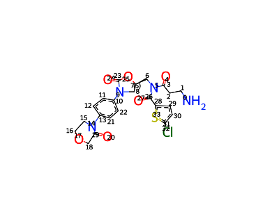 NCCC(=O)N(C[C@H]1CN(c2ccc(N3CCOCC3=O)cc2)C(=O)O1)C(=O)c1ccc(Cl)s1